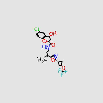 C=C(CCNC(=O)[C@@H]1C[C@@H](O)c2cc(Cl)ccc2O1)c1cnc([C@H]2C[C@@H](OC(F)(F)F)C2)o1